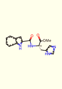 COC(=O)[C@H](Cc1cnc[nH]1)NC(=O)c1cc2ccccc2[nH]1